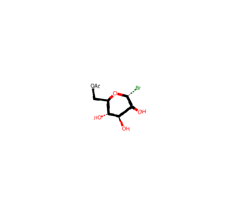 CC(=O)OCC1O[C@H](Br)C(O)[C@@H](O)[C@@H]1O